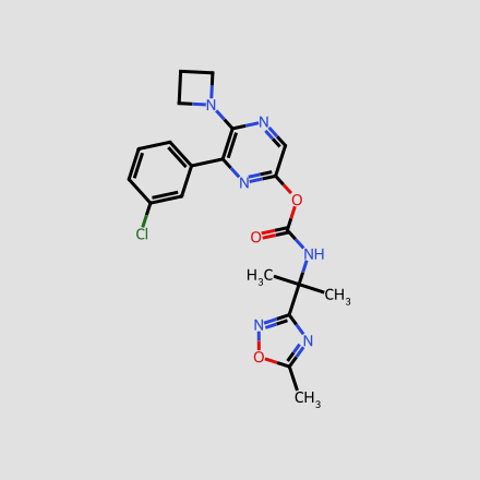 Cc1nc(C(C)(C)NC(=O)Oc2cnc(N3CCC3)c(-c3cccc(Cl)c3)n2)no1